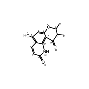 CC1Oc2cc(O)c3ccc(=O)[nH]c3c2C(=O)C1C